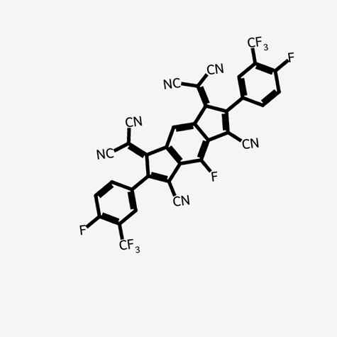 N#CC(C#N)=C1C(c2ccc(F)c(C(F)(F)F)c2)=C(C#N)c2c1cc1c(c2F)C(C#N)=C(c2ccc(F)c(C(F)(F)F)c2)C1=C(C#N)C#N